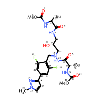 COC(=O)NC(C(=O)NC[C@@H](O)CN(Cc1c(F)cc(-c2ccn(C)n2)cc1F)NC(=O)[C@@H](NC(=O)OC)C(C)(C)C)C(C)(C)C